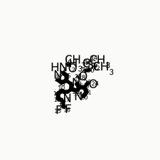 CC(=O)Nc1cc(-c2c(-c3cccc(C(F)F)n3)c3nccc(C=O)c3n2COCC[Si](C)(C)C)ccn1